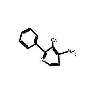 N#Cc1c(N)ccnc1-c1ccccc1